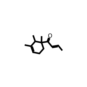 CC=CC(=O)C1(C)CCC=C(C)C1C